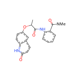 CNC(=O)c1ccccc1NC(=O)C(C)Oc1ccc2[nH]c(=O)ccc2c1